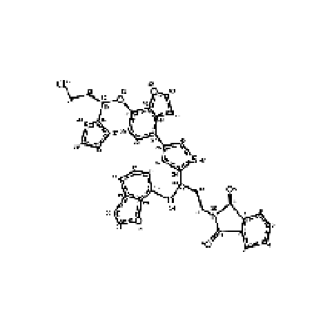 O=C1c2ccccc2C(=O)N1CC[C@@H](Oc1cccc2ccoc12)c1cc(-c2ccc(O[C@H](CCCl)c3cccs3)c3occc23)cs1